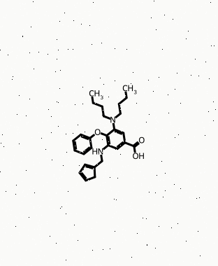 CCCCN(CCCC)c1cc(C(=O)O)cc(NCC2=CC=CC2)c1Oc1ccccc1